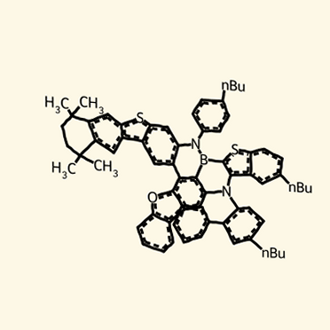 CCCCc1ccc(N2B3c4sc5ccc(CCCC)cc5c4N(c4ccc(CCCC)cc4-c4ccccc4)c4cc5c(oc6ccccc65)c(c43)-c3cc4c(cc32)sc2cc3c(cc24)C(C)(C)CCC3(C)C)cc1